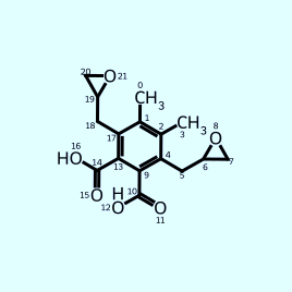 Cc1c(C)c(CC2CO2)c(C(=O)O)c(C(=O)O)c1CC1CO1